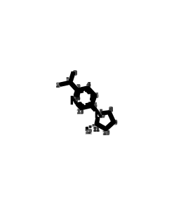 CC(C)c1ccc(N2CCC[C@@H]2C)cn1